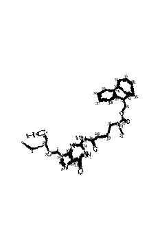 CC[C@@H](CO)OCn1cnc2c(=O)[nH]c(NC(=O)CCCN(C)C(=O)OCC3c4ccccc4-c4ccccc43)nc21